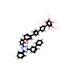 Bc1c(B)c(B)c(-c2ccc(-c3ccc(-c4ccc5c(c4)oc4c(-c6nc(-c7ccccc7)nc(-c7cccc(-c8ccccc8)c7)n6)cccc45)cc3)cc2)c(B)c1B